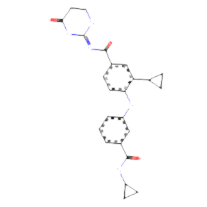 O=C1CCN/C(=N\C(=O)c2ccc(Nc3cccc(C(=O)NC4CC4)c3)c(C3CC3)c2)N1